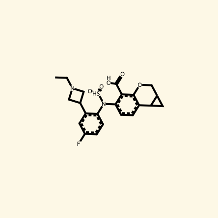 CCN1CC(c2cc(F)ccc2N(c2ccc3c(c2C(=O)O)OCC2CC32)[SH](=O)=O)C1